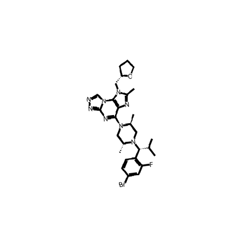 Cc1nc2c(N3C[C@@H](C)N([C@@H](c4ccc(Br)cc4F)C(C)C)C[C@@H]3C)nc3nncn3c2n1C[C@@H]1CCCO1